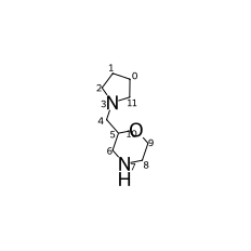 C1CCN(CC2CNCCO2)C1